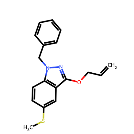 C=CCOc1nn(Cc2ccccc2)c2ccc(SC)cc12